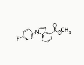 COC(=O)c1cccc2c1ccn2-c1ccc(F)cc1